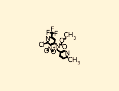 CCOC(=O)N(Cc1ccc(C)nc1)c1cc(C(F)(F)F)nc(Cl)c1[N+](=O)[O-]